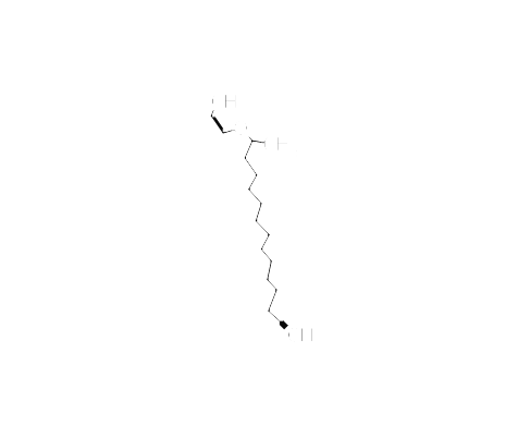 C#CCCCCCCCCCCCC(C)O/C=C\C